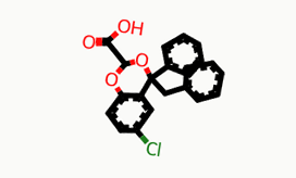 O=C(O)C1Oc2ccc(Cl)cc2C(Cc2ccccc2)(c2ccccc2)O1